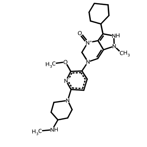 CNC1CCN(c2ccc(N3C=C4C(=C(C5CCCCC5)NN4C)[N+](=O)C3)c(OC)n2)CC1